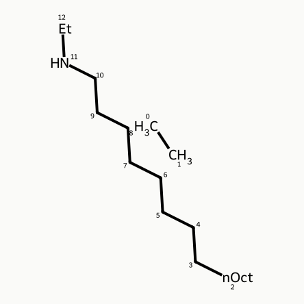 CC.CCCCCCCCCCCCCCCCNCC